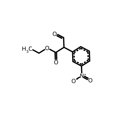 CCOC(=O)C(C=O)c1cccc([N+](=O)[O-])c1